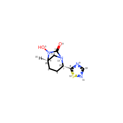 O=C1N(O)[C@@H]2CC[C@@H](c3ncns3)N1C2